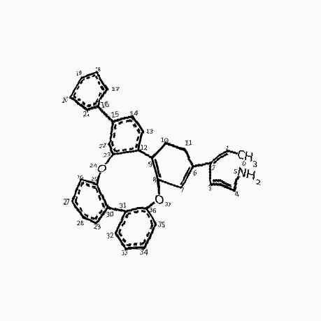 C/C=C(\C=C/N)C1=CC2=C(CC1)c1ccc(-c3ccccc3)cc1Oc1ccccc1-c1ccccc1O2